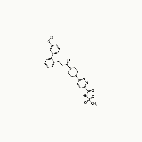 CCOc1cccc(-c2ccccc2CCC(=O)N2CCN(c3ccc(C(=O)NS(C)(=O)=O)nn3)CC2)c1